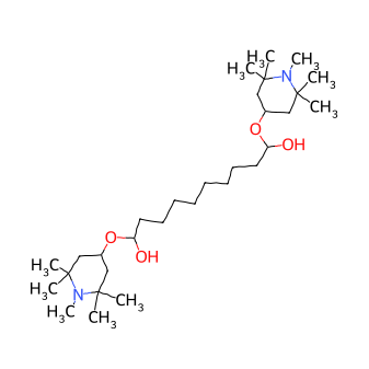 CN1C(C)(C)CC(OC(O)CCCCCCCCC(O)OC2CC(C)(C)N(C)C(C)(C)C2)CC1(C)C